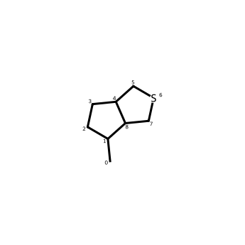 CC1CCC2CSCC12